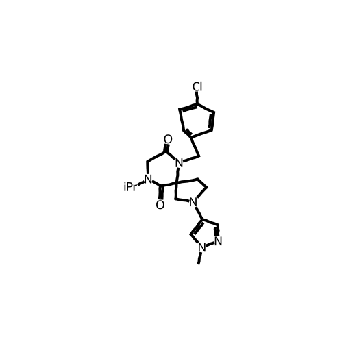 CC(C)N1CC(=O)N(Cc2ccc(Cl)cc2)C2(CCN(c3cnn(C)c3)C2)C1=O